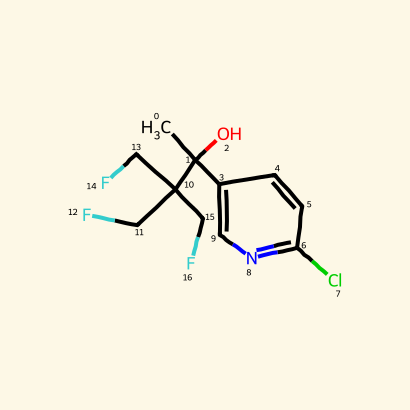 CC(O)(c1ccc(Cl)nc1)C(CF)(CF)CF